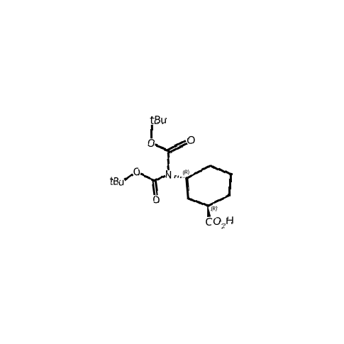 CC(C)(C)OC(=O)N(C(=O)OC(C)(C)C)[C@@H]1CCC[C@@H](C(=O)O)C1